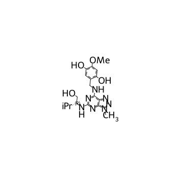 COc1cc(O)c(CNc2nc(N[C@@H](CO)C(C)C)nc3c2nnn3C)cc1O